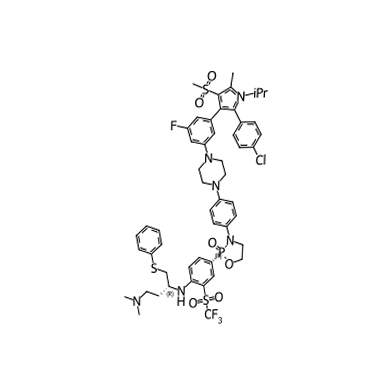 Cc1c(S(C)(=O)=O)c(-c2cc(F)cc(N3CCN(c4ccc(N5CCO[P@]5(=O)c5ccc(N[C@H](CCN(C)C)CSc6ccccc6)c(S(=O)(=O)C(F)(F)F)c5)cc4)CC3)c2)c(-c2ccc(Cl)cc2)n1C(C)C